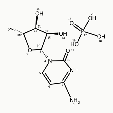 C[C@H]1O[C@@H](n2ccc(N)nc2=O)[C@H](O)[C@@H]1O.O=P(O)(O)O